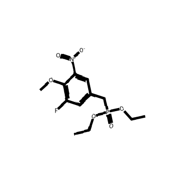 CCOP(=O)(Cc1cc(F)c(OC)c([N+](=O)[O-])c1)OCC